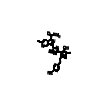 Cc1cc2c(C(N)=O)nn(-c3nc(-c4c(O)c(C)nn4CCc4ccc(C#N)cc4)n[nH]3)c2cn1